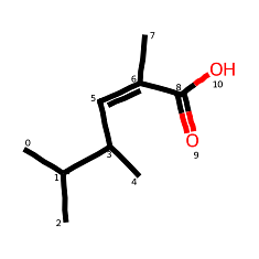 C[C](C)C(C)C=C(C)C(=O)O